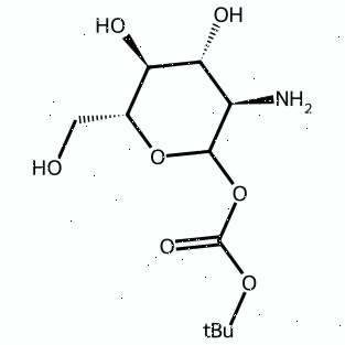 CC(C)(C)OC(=O)OC1O[C@H](CO)[C@@H](O)[C@H](O)[C@H]1N